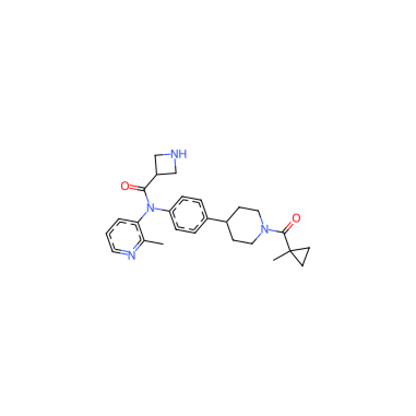 Cc1ncccc1N(C(=O)C1CNC1)c1ccc(C2CCN(C(=O)C3(C)CC3)CC2)cc1